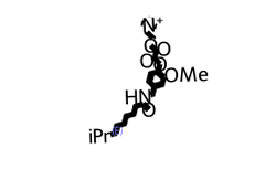 COc1cc(CNC(=O)CCCC/C=C/C(C)C)ccc1OC(=O)C(=O)OCC[N+](C)(C)C